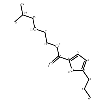 CCCc1ccc(C(=O)OCCOCC(C)C)o1